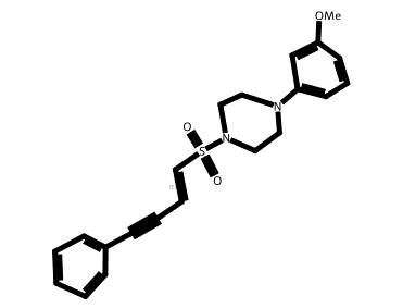 COc1cccc(N2CCN(S(=O)(=O)/C=C/C#Cc3ccccc3)CC2)c1